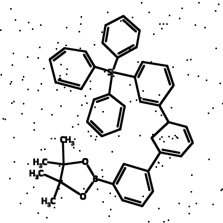 CC1(C)OB(c2cccc(C3=CC=CC(c4cccc([Si](c5ccccc5)(c5ccccc5)c5ccccc5)c4)C3)c2)OC1(C)C